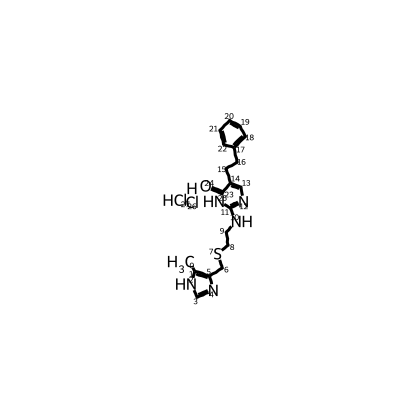 Cc1[nH]cnc1CSCCNc1ncc(CCc2ccccc2)c(=O)[nH]1.Cl.Cl